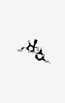 C#C[C@@]1(O)C(F)[C@@H](CO)O[C@H]1n1ccc(N)nc1=S